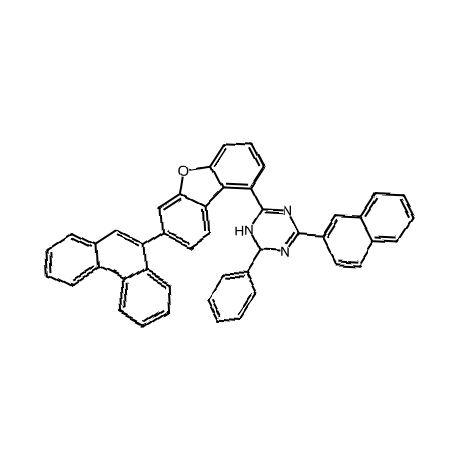 c1ccc(C2N=C(c3ccc4ccccc4c3)N=C(c3cccc4oc5cc(-c6cc7ccccc7c7ccccc67)ccc5c34)N2)cc1